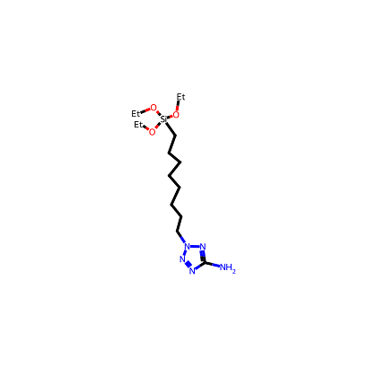 CCO[Si](CCCCCCCCn1nnc(N)n1)(OCC)OCC